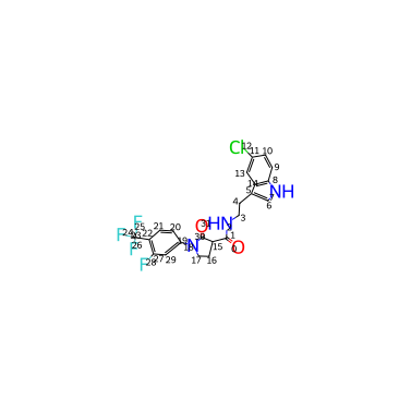 O=C(NCCc1c[nH]c2ccc(Cl)cc12)C1CCN(c2ccc(C(F)(F)F)c(F)c2)C1=O